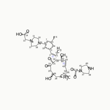 C/C(=C\c1cc(F)cc(N2CCN(CC(=O)O)CC2)c1)[C@H]1C(=O)C(=O)C[C@H](O)CC[C@H](C)[C@@H](OC(=O)N2CCNCC2)/C=C/[C@@H]1C